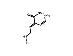 CCNC/C=C(\N=C/NC)C(=O)NC